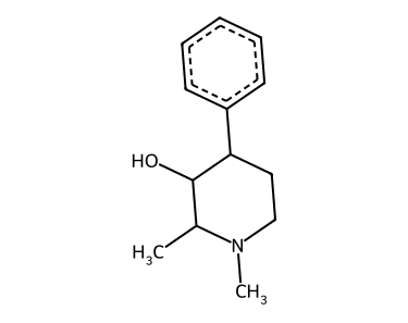 CC1C(O)C(c2ccccc2)CCN1C